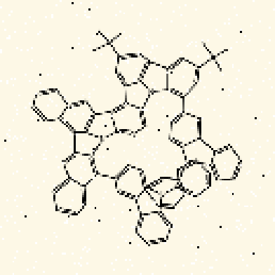 CC(C)(C)c1cc(-c2ccc3c(c2)c2ccccc2n3-c2ccccc2)c2c(c1)c1cc(C(C)(C)C)cc3c4c5c6cc7ccccc7c7c8cc9ccccc9c(-c9ccc%10c(c9)c9ccccc9n%10-c9ccccc9)c8n(c5ncc4n2c13)c67